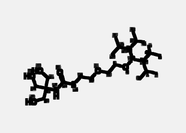 CC(C)N(C(C)C)P(OCCOCCSC(=O)NC(CO)(CO)CO)N(C(C)C)C(C)C